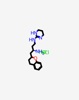 Cl.Cl.N[C@H](CCNC1=NCCCN1)CC1CCc2ccccc2O1